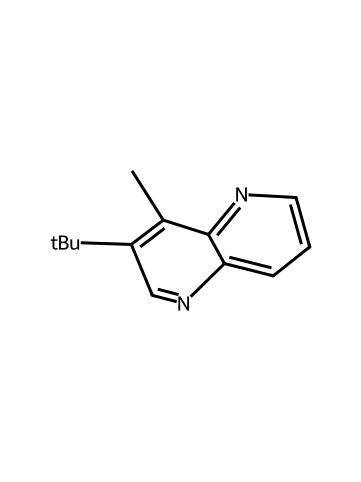 Cc1c(C(C)(C)C)cnc2cccnc12